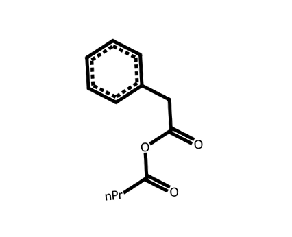 CCCC(=O)OC(=O)Cc1ccccc1